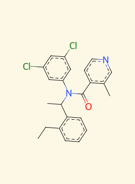 CCc1ccccc1C(C)N(C(=O)c1ccncc1C)c1cc(Cl)cc(Cl)c1